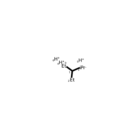 CCC(CC)[C](C)C.[H+].[H+].[H+]